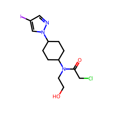 O=C(CCl)N(CCO)C1CCC(n2cc(I)cn2)CC1